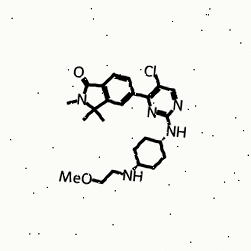 COCCN[C@H]1CC[C@H](Nc2ncc(Cl)c(-c3ccc4c(c3)C(C)(C)N(C)C4=O)n2)CC1